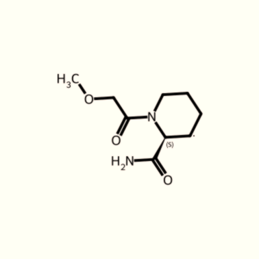 COCC(=O)N1CCC[CH][C@H]1C(N)=O